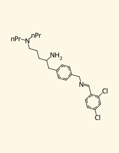 CCCN(CCC)CCCC(N)Cc1ccc(CN=Cc2ccc(Cl)cc2Cl)cc1